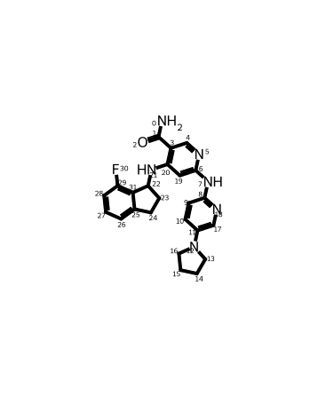 NC(=O)c1cnc(Nc2ccc(N3CCCC3)cn2)cc1NC1CCc2cccc(F)c21